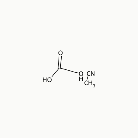 CC#N.O=C(O)O